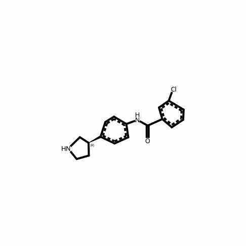 O=C(Nc1ccc([C@H]2CCNC2)cc1)c1cccc(Cl)c1